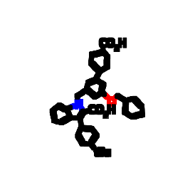 CC(C)(C)c1ccc(-c2c(C(=O)O)n(Cc3cc(OCc4ccccc4)cc(-c4ccc(C(=O)O)cc4)c3)c3ccccc23)cc1